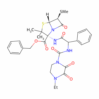 CCN1CCN(C(=O)NC(C(=O)N[C@@]2(C(=O)OCc3ccccc3)N3C(=O)[C@H](SC)[C@H]3SC2(C)C)c2ccccc2)C(=O)C1=O